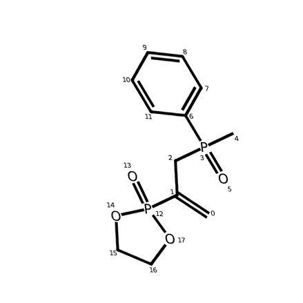 C=C(CP(C)(=O)c1ccccc1)P1(=O)OCCO1